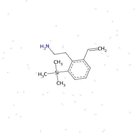 C=Cc1cccc([Si](C)(C)C)c1CCN